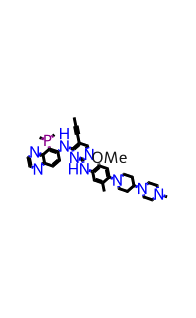 CC#Cc1cnc(Nc2cc(C)c(N3CCC(N4CCN(C)CC4)CC3)cc2OC)nc1Nc1ccc2nccnc2c1P(C)C